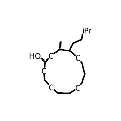 CC(C)CCC1CCCCCCCCCCC(O)CC1C